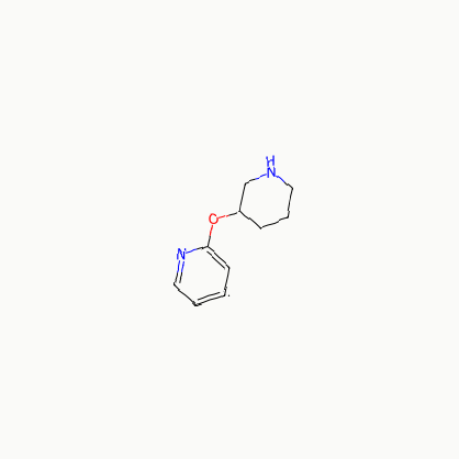 [c]1ccnc(OC2CCCNC2)c1